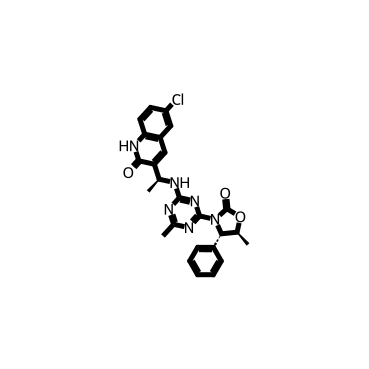 Cc1nc(N[C@@H](C)c2cc3cc(Cl)ccc3[nH]c2=O)nc(N2C(=O)O[C@@H](C)[C@@H]2c2ccccc2)n1